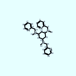 CN(Cc1ccccn1)C1CC(N(C)Cc2ccccn2)CC(N(C)Cc2ccccn2)C1